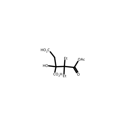 CCC(CC)(C(=O)OC(C)=O)C(O)(CC(=O)O)C(=O)O